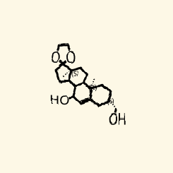 C[C@]12CC[C@H](CO)CC1=CC(O)C1C2CC[C@@]2(C)C1CCC21OCCO1